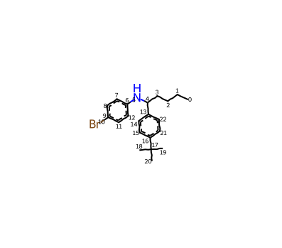 CCCCC(Nc1ccc(Br)cc1)c1ccc(C(C)(C)C)cc1